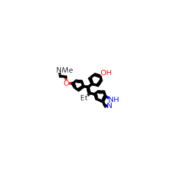 CC/C(=C(/c1ccc(O)cc1)c1ccc(OCCNC)cc1)c1ccc2[nH]ncc2c1